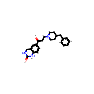 O=C1NCc2cc(C(=O)CCN3CCC(Cc4ccccc4)CC3)ccc2N1